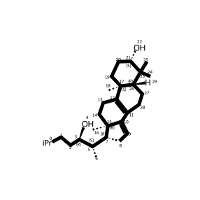 CC(C)CC[C@@H](O)[C@@H](C)[C@H]1CC=C2C3=C(CC[C@@]21C)[C@@]1(C)CC[C@H](O)C(C)(C)[C@@H]1CC3